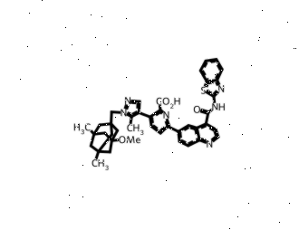 COC12CC3(C)CC(C)(CC(Cn4ncc(-c5ccc(-c6ccc7nccc(C(=O)Nc8nc9ccccc9s8)c7c6)nc5C(=O)O)c4C)(C3)C1)C2